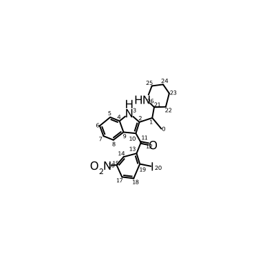 CC(c1[nH]c2ccccc2c1C(=O)c1cc([N+](=O)[O-])ccc1I)C1CCCCN1